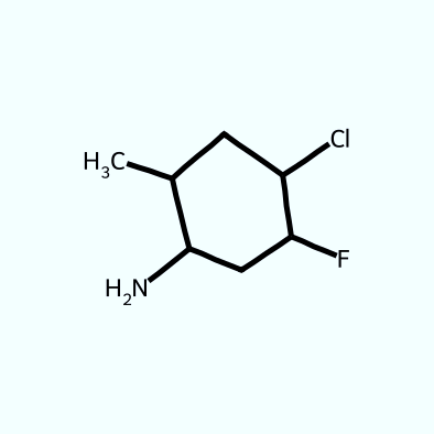 CC1CC(Cl)C(F)CC1N